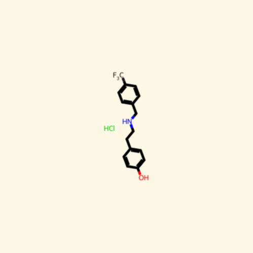 Cl.Oc1ccc(CCNCc2ccc(C(F)(F)F)cc2)cc1